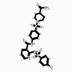 NC(=O)C1CCN(S(=O)(=O)c2ccc(NC(=O)c3cccnc3NS(=O)(=O)c3ccc(Cl)cc3)cc2)CC1